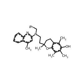 Cc1c(C)c2c(c(C)c1O)CCC(C)(CCN(CC(C)C)c1cc(C)c3ccccc3n1)O2